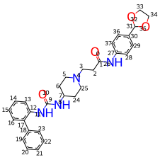 O=C(CCN1CCC(NC(=O)Nc2ccccc2-c2ccccc2)CC1)Nc1ccc(C2OCCO2)cc1